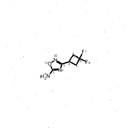 Nc1nc(C2CC(F)(F)C2)no1